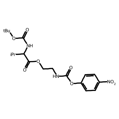 CC(C)C(NC(=O)OC(C)(C)C)C(=O)OCCNC(=O)Oc1ccc([N+](=O)[O-])cc1